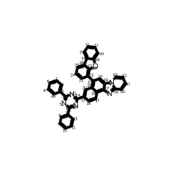 c1ccc(-c2nc(-c3ccccc3)nc(-c3ccc4c(c3)c(-c3cccc5c3oc3ccccc35)cc3c4nc4ccccn43)n2)cc1